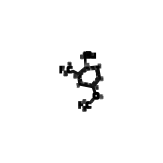 CC(C)(C)c1ccc(OC(F)(F)F)cc1C(F)(F)F